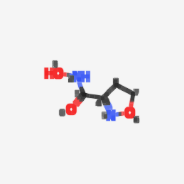 O=C(NO)C1=NOCC1